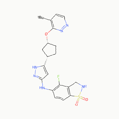 CC(C)(C)c1ccnnc1O[C@@H]1CC[C@H](c2cc(Nc3ccc4c(c3F)CNS4(=O)=O)n[nH]2)C1